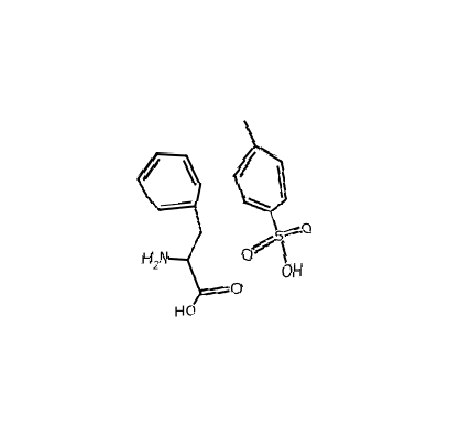 Cc1ccc(S(=O)(=O)O)cc1.NC(Cc1ccccc1)C(=O)O